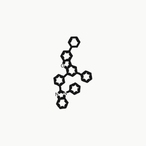 C1=CCC(c2ccc3oc4c(-c5cccc(-c6nc7ccccc7n6-c6ccccc6)c5)cc(-c5ccccc5)cc4c3c2)C=C1